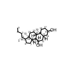 CCC[C@@H](C)C1CC[C@H]2[C@@H]3[C@H](O)C[C@@H]4C[C@H](O)CC[C@]4(C)[C@H]3CC[C@]12C